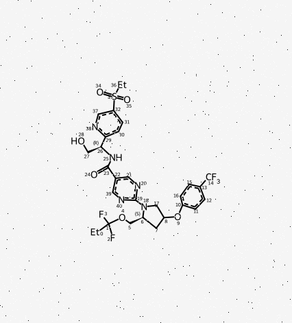 CCC(F)(F)OC[C@@H]1CC(Oc2ccc(C(F)(F)F)cc2)CN1c1ncc(C(=O)N[C@@H](CO)c2ccc(S(=O)(=O)CC)cn2)cn1